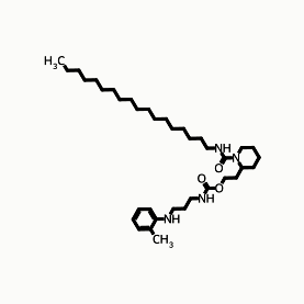 CCCCCCCCCCCCCCCCCCNC(=O)N1CCCCC1CCOC(=O)NCCCNc1ccccc1C